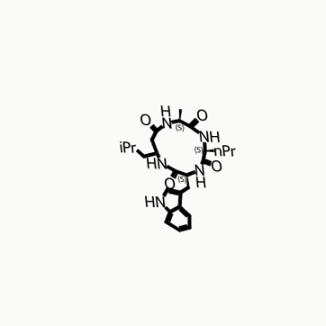 CCC[C@@H]1NC(=O)[C@H](C)NC(=O)CC(CC(C)C)NC(=O)[C@H](Cc2c[nH]c3ccccc23)NC1=O